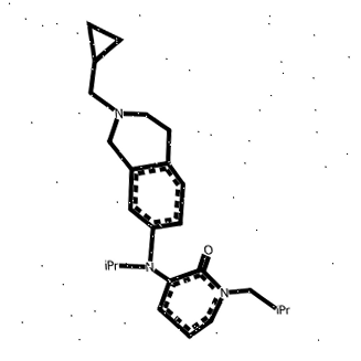 CC(C)Cn1cccc(N(c2ccc3c(c2)CN(CC2CC2)CC3)C(C)C)c1=O